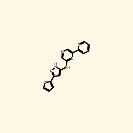 c1ccc(-c2cncc(Nc3cc(-c4ccco4)n[nH]3)n2)nc1